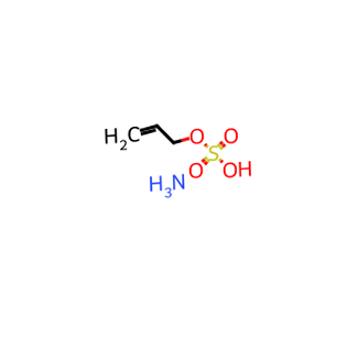 C=CCOS(=O)(=O)O.N